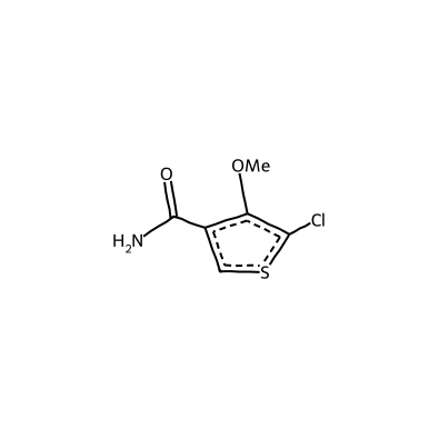 COc1c(C(N)=O)csc1Cl